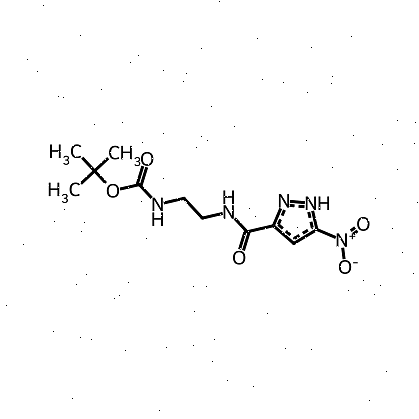 CC(C)(C)OC(=O)NCCNC(=O)c1cc([N+](=O)[O-])[nH]n1